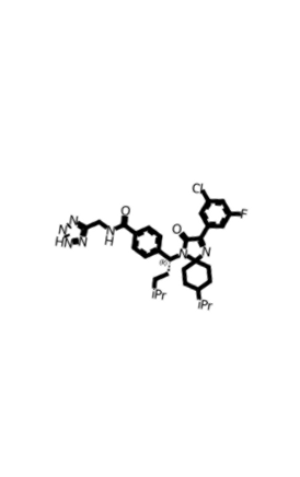 CC(C)CC[C@H](c1ccc(C(=O)NCc2nn[nH]n2)cc1)N1C(=O)C(c2cc(F)cc(Cl)c2)=NC12CCC(C(C)C)CC2